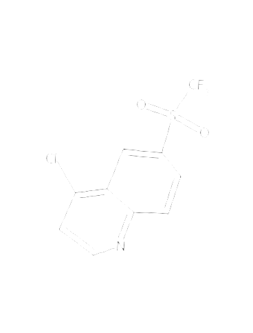 O=S(=O)(c1ccc2nccc(Cl)c2c1)C(F)(F)F